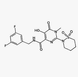 Cn1c(N2CCCCS2(=O)=O)nc(C(=O)NCc2cc(F)cc(F)c2)c(O)c1=O